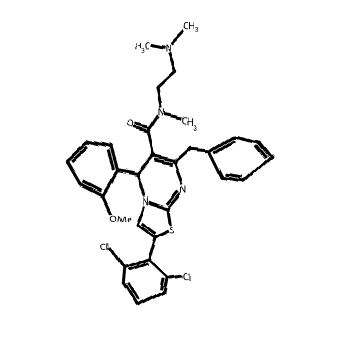 COc1ccccc1C1C(C(=O)N(C)CCN(C)C)=C(Cc2ccccc2)N=C2SC(c3c(Cl)cccc3Cl)=CN21